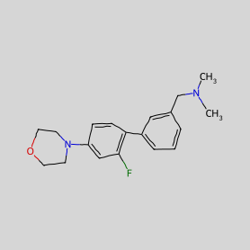 CN(C)Cc1cccc(-c2ccc(N3CCOCC3)cc2F)c1